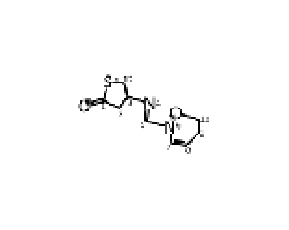 O=C1CC(N=CN2C=CCCO2)CS1